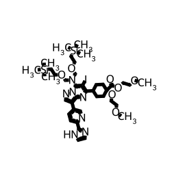 COCCOC(=O)C1(OCCOC)CCC(c2nc3c(-c4ccc(-c5ncc[nH]5)nc4)cnn3c(N(COCC[Si](C)(C)C)COCC[Si](C)(C)C)c2I)CC1